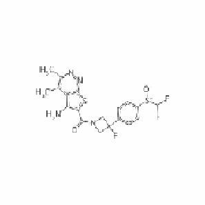 Cc1nnc2sc(C(=O)N3CC(F)(c4ccc([S+]([O-])C(F)F)cc4)C3)c(N)c2c1C